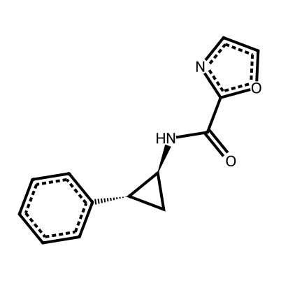 O=C(N[C@H]1C[C@@H]1c1ccccc1)c1ncco1